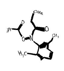 COCC(=O)N(OC(=O)C(C)C)c1c(C)cccc1C